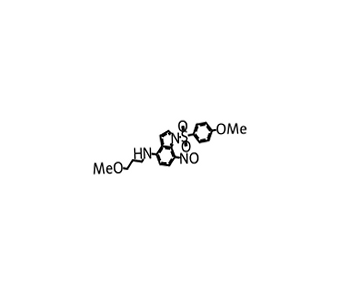 COCCCNc1ccc(N=O)c2c1ccn2S(=O)(=O)c1ccc(OC)cc1